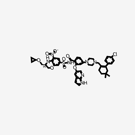 CC1(C)CCC(CN2CCN(c3ccc(C(=O)NS(=O)(=O)c4cc5c(c([N+](=O)[O-])c4)N[C@H](COC4CC4)CO5)c(Oc4cnc5[nH]ccc5c4)c3)CC2)=C(c2ccc(Cl)cc2)C1